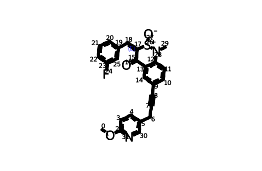 COc1ccc(CC#Cc2ccc3c(c2)C(=O)/C(=C\c2cccc(F)c2)[S+]([O-])N3C)cn1